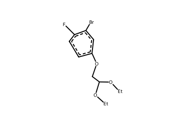 CCOC(COc1ccc(F)c(Br)c1)OCC